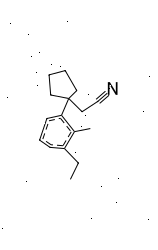 CCc1cccc(C2(CC#N)CCCC2)c1C